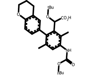 CCCCOC(=O)Nc1cc(C)c(-c2ccc3c(c2)CCCO3)c(C(OC(C)(C)C)C(=O)O)c1C